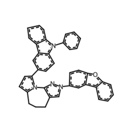 c1ccc(-n2c3ccccc3c3cc(-c4ccc5n4-c4nn(-c6ccc7oc8ccccc8c7c6)cc4CCC5)ccc32)cc1